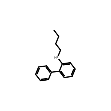 CCCCPc1ccccc1-c1ccccc1